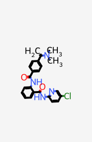 C=C(c1ccc(C(=O)Nc2ccccc2C(=O)Nc2ccc(Cl)cn2)cc1)N(C)C